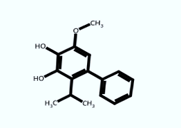 COc1cc(-c2ccccc2)c(C(C)C)c(O)c1O